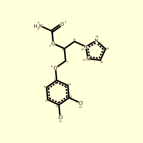 NC(=O)OC(COc1ccc(Cl)c(Cl)c1)Cn1nccn1